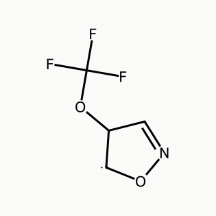 FC(F)(F)OC1[CH]ON=C1